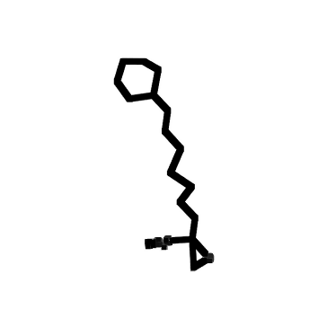 CCOC(=O)C1(CCCCCCCC2CCCCC2)CO1